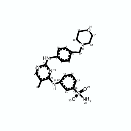 Cc1cnc(Nc2ccc(CN3CCOCC3)cc2)nc1Nc1cccc(S(N)(=O)=O)c1